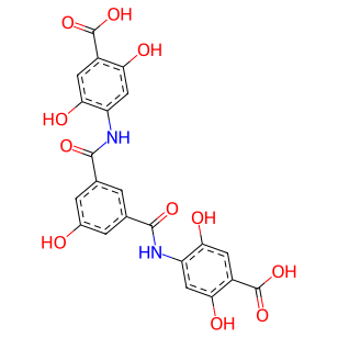 O=C(Nc1cc(O)c(C(=O)O)cc1O)c1cc(O)cc(C(=O)Nc2cc(O)c(C(=O)O)cc2O)c1